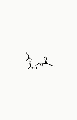 CC(=O)O.CC(C)=O.CCOC(C)=O